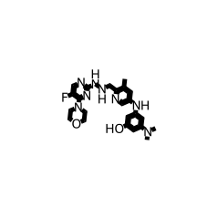 Cc1cc(Nc2cc(O)cc(N(C)C)c2)cnc1CNNc1ncc(F)c(N2CCOCC2)n1